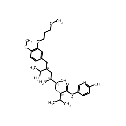 COCCCOc1cc(C[C@@H](C[C@H](N)[C@@H](O)C[C@H](C(=O)Nc2ccc(C)nc2)C(C)C)C(C)C)ccc1OC